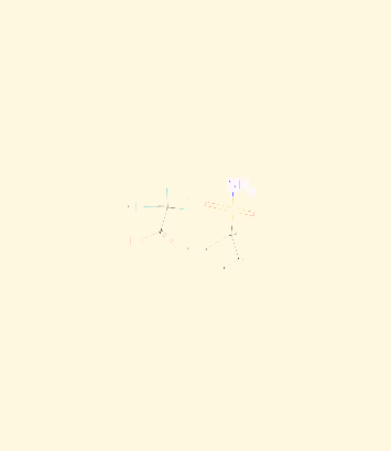 NS(=O)(=O)C1CCC1.O=C(O)C(F)(F)F